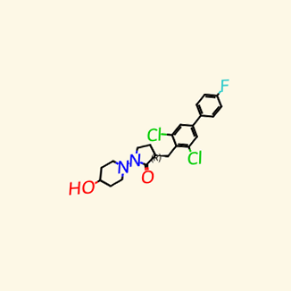 O=C1[C@H](Cc2c(Cl)cc(-c3ccc(F)cc3)cc2Cl)CCN1N1CCC(O)CC1